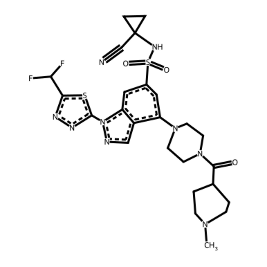 CN1CCC(C(=O)N2CCN(c3cc(S(=O)(=O)NC4(C#N)CC4)cc4c3cnn4-c3nnc(C(F)F)s3)CC2)CC1